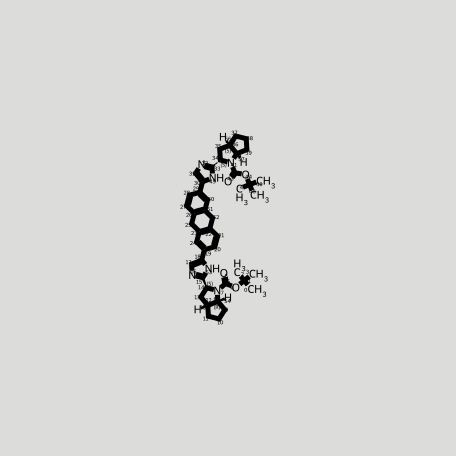 CC(C)(C)OC(=O)N1[C@@H]2CCC[C@@H]2C[C@H]1c1ncc(-c2ccc3c(c2)Cc2ccc(-c4cnc([C@@H]5C[C@@H]6CCC[C@@H]6N5C(=O)OC(C)(C)C)[nH]4)cc2C3)[nH]1